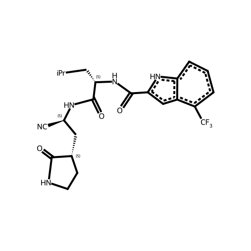 CC(C)C[C@H](NC(=O)c1cc2c(C(F)(F)F)cccc2[nH]1)C(=O)N[C@H](C#N)C[C@@H]1CCNC1=O